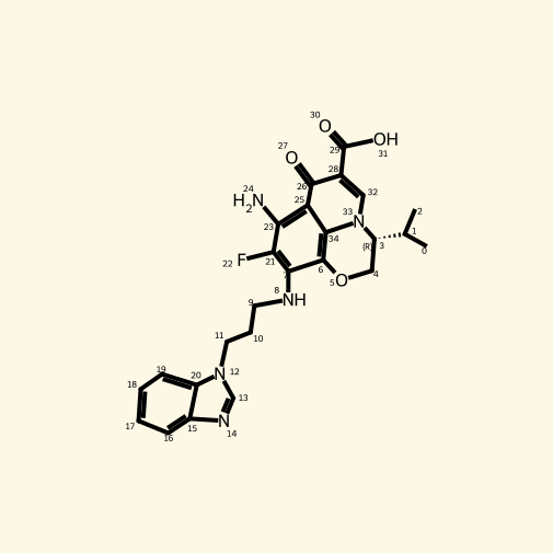 CC(C)[C@@H]1COc2c(NCCCn3cnc4ccccc43)c(F)c(N)c3c(=O)c(C(=O)O)cn1c23